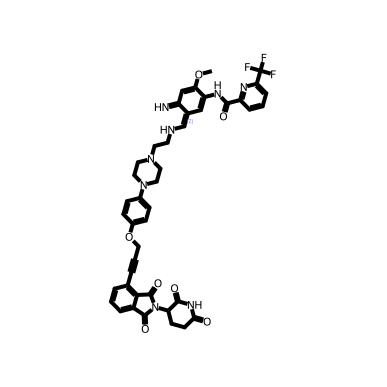 COC1=CC(=N)/C(=C\NCCN2CCN(c3ccc(OCC#Cc4cccc5c4C(=O)N(C4CCC(=O)NC4=O)C5=O)cc3)CC2)C=C1NC(=O)c1cccc(C(F)(F)F)n1